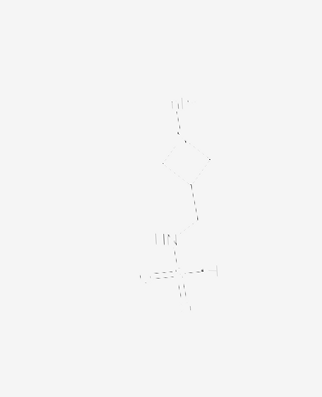 [2H]S(=O)(=O)NCC1CN(CCC)C1